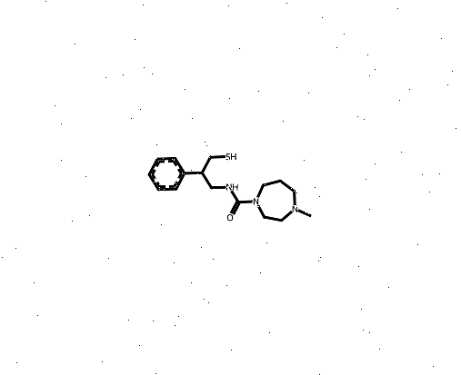 CN1CCCN(C(=O)NCC(CS)c2ccccc2)CC1